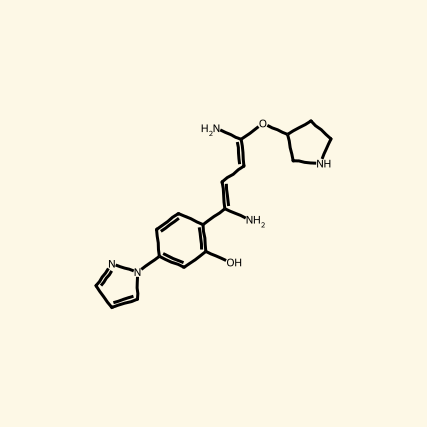 N/C(=C\C=C(/N)OC1CCNC1)c1ccc(-n2cccn2)cc1O